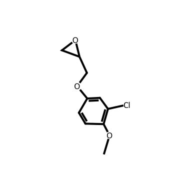 COc1ccc(OCC2CO2)cc1Cl